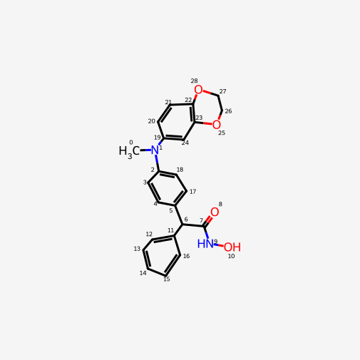 CN(c1ccc(C(C(=O)NO)c2ccccc2)cc1)c1ccc2c(c1)OCCO2